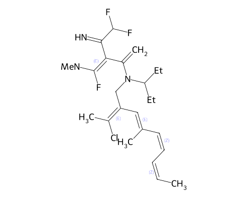 C=C(/C(C(=N)C(F)F)=C(\F)NC)N(CC(/C=C(C)/C=C\C=C/C)=C(\C)Cl)C(CC)CC